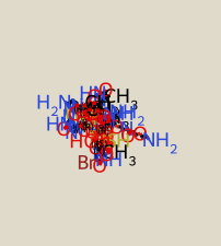 COC1[C@@H](OP(=O)(S)OC[C@H]2O[C@@H](n3cnc4c(=O)[nH]c(N)nc43)C[C@H]2OP(=O)(S)OC[C@H]2O[C@@H](n3cc(C)c(=O)[nH]c3=O)C[C@H]2OP(=S)(OCCOCCOCCNC(=O)CCOCCN)OC[C@H]2O[C@@H](n3ccc(N)nc3=O)C[C@H]2C(C)C)[C@@H](COP(=O)(S)O[C@@H]2C(OC)[C@H](n3cc(Br)c(=O)[nH]c3=O)O[C@@H]2CO)O[C@H]1n1ccc(N)nc1=O